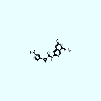 Nc1nc(Cl)cc2cc(NC(=O)[C@@H]3C[C@H]3c3cnn(PI)c3)ncc12